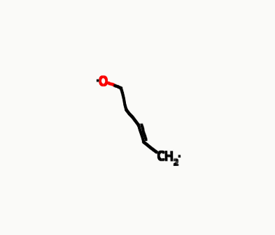 [CH2]C=CCC[O]